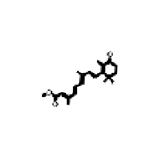 COC(=O)C=C(C)C=CC=C(C)C=CC1=C(C)C(=O)CCC1(C)C